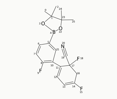 CC1(C)OB(c2ccc(F)c(C3=CC=C(F)CC3(F)C#N)c2)OC1(C)C